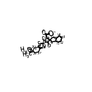 CN(C(=O)C1(CC(=O)[O-])Cc2ccccc2C1)c1nc2c(s1)C[N+](C)(C)CC2